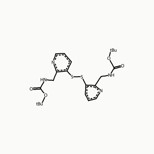 CC(C)(C)OC(=O)NCc1ncccc1SSc1cccnc1CNC(=O)OC(C)(C)C